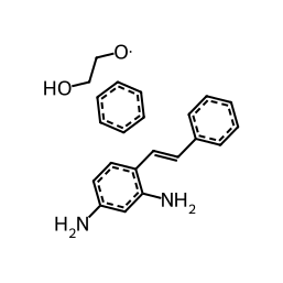 Nc1ccc(C=Cc2ccccc2)c(N)c1.[O]CCO.c1ccccc1